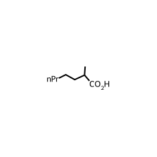 [CH2]CCCCC(C)C(=O)O